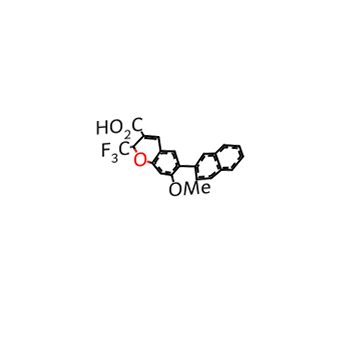 COc1cc2c(cc1-c1ccc3ccccc3c1)C=C(C(=O)O)C(C(F)(F)F)O2